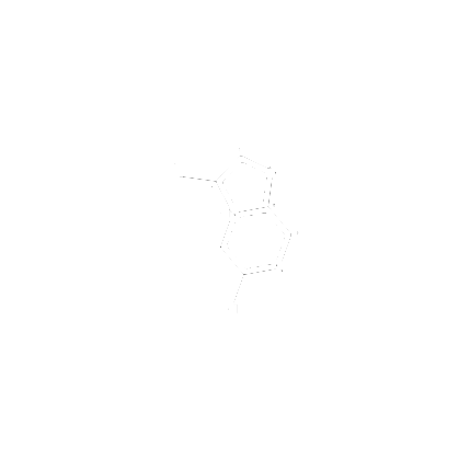 Clc1cn2c(Cl)cnc2cn1